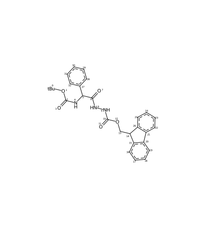 CC(C)(C)OC(=O)NC(C(=O)NNC(=O)OCC1c2ccccc2-c2ccccc21)c1ccccc1